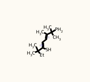 CCC(C)(C)/C(S)=C/C=C(\C)C(C)(C)P